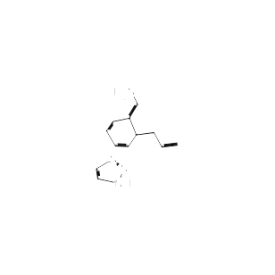 C=CCC1C=CC=CC1=CN.c1c[nH]nn1